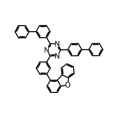 c1ccc(-c2ccc(-c3nc(-c4cccc(-c5ccccc5)c4)nc(-c4cccc(-c5cccc6oc7ccccc7c56)c4)n3)cc2)cc1